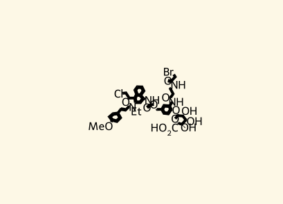 CCN(C(=O)/C=C/c1ccc(OC)cc1)c1cc(NC(=O)OCc2ccc(OC3OC(C(=O)O)[C@@H](O)C(O)[C@H]3O)c(NC(=O)CCNC(=O)CBr)c2)c2ccccc2c1CCCl